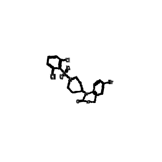 O=C1OCc2cc(Br)ccc2N1C1CCN(S(=O)(=O)c2c(Cl)cccc2Cl)CC1